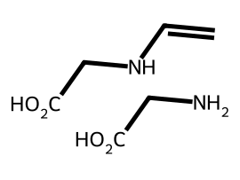 C=CNCC(=O)O.NCC(=O)O